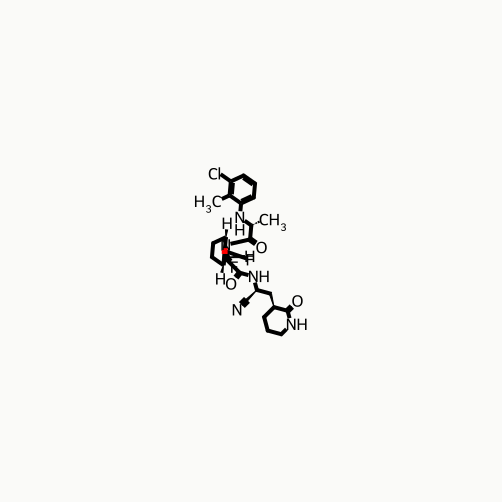 Cc1c(Cl)cccc1N[C@H](C)C(=O)N1[C@H]2CC[C@@H]([C@H]1C(=O)N[C@H](C#N)C[C@@H]1CCCNC1=O)C(F)(F)C2